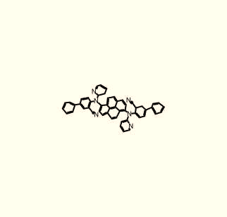 N#Cc1cc(-c2ccccc2)ccc1N(c1ccc2ccc3c(N(C4=CC=C(c5ccccc5)CC4C#N)c4ccccn4)ccc4ccc1c2c43)C1CC=CC=N1